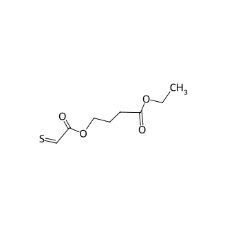 CCOC(=O)CCCOC(=O)C=S